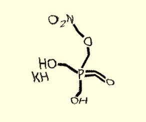 O=[N+]([O-])OP(=O)(O)O.[KH]